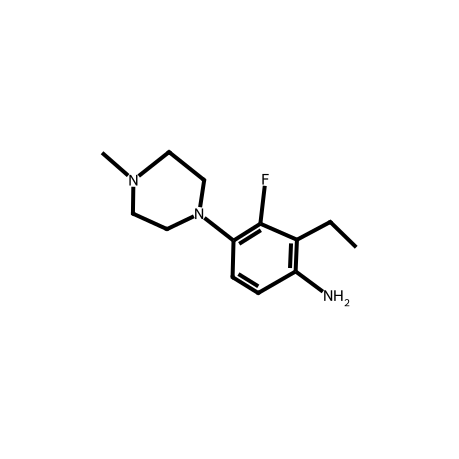 CCc1c(N)ccc(N2CCN(C)CC2)c1F